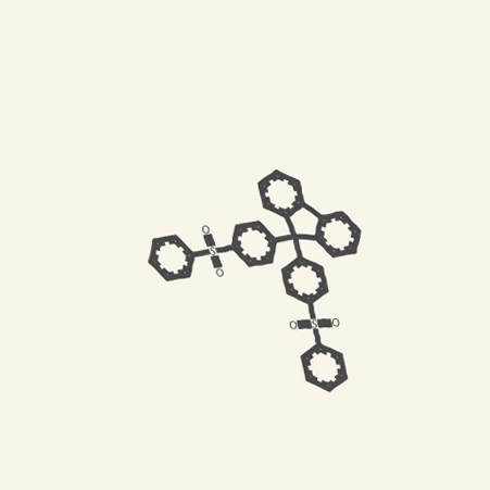 O=S(=O)(c1ccccc1)c1ccc(C2(c3ccc(S(=O)(=O)c4ccccc4)cc3)c3ccccc3-c3ccccc32)cc1